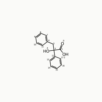 O=C(O)C(O)(Cc1ccccc1)c1ccccc1